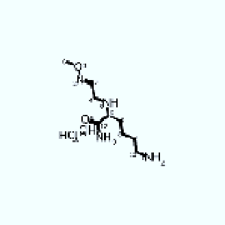 CON=CCN[C@@H](CCCCN)C(N)=O.Cl.Cl